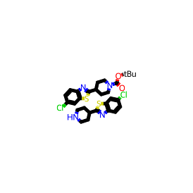 CC(C)(C)OC(=O)N1CCC(c2nc3ccc(Cl)cc3s2)CC1.Clc1ccc2nc(C3CCNCC3)sc2c1